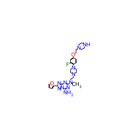 CN(CCN1CCN(c2ccc(OCCN3CCNCC3)cc2F)CC1)c1nc(N)n2nc(-c3ccco3)nc2n1